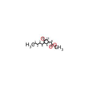 CCCCCC1CC(CC(=O)OC)CC1=O